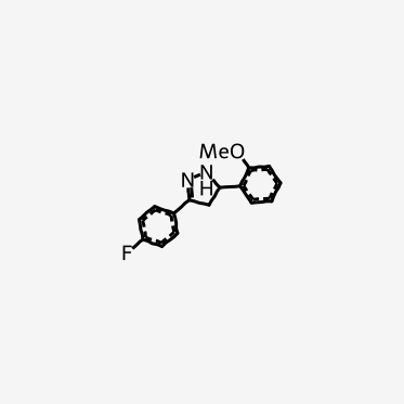 COc1ccccc1C1CC(c2ccc(F)cc2)=NN1